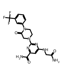 NC(=O)CNc1cc(C(N)=O)nc(N2CCN(c3cccc(C(F)(F)F)c3)C(=O)C2)n1